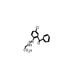 O=C(O)CNN=Nc1ccc(Cl)cc1C(=O)c1ccccc1